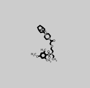 CCN(CCOCC(=O)N1CCN(C2CC3CCC(C2)N3C)CC1)S(=O)(=O)c1c(C)cc(OC)cc1C